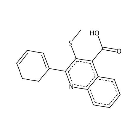 CSc1c(C2=CC=CCC2)nc2ccccc2c1C(=O)O